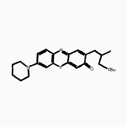 CC(Cc1cc2nc3ccc(N4CCCCC4)cc3sc-2cc1=O)CC(C)(C)C